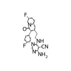 N#Cc1c(N)ncnc1NCCc1cc2ccc(F)cn2c(=O)c1-c1ccc(F)cc1